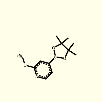 CC(C)(C)Oc1cc(B2OC(C)(C)C(C)(C)O2)ccn1